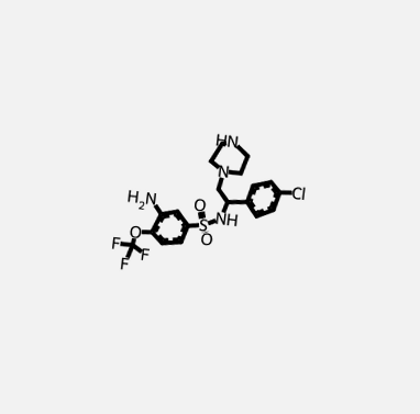 Nc1cc(S(=O)(=O)NC(CN2CCNCC2)c2ccc(Cl)cc2)ccc1OC(F)(F)F